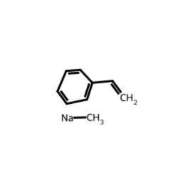 C=Cc1ccccc1.[CH3][Na]